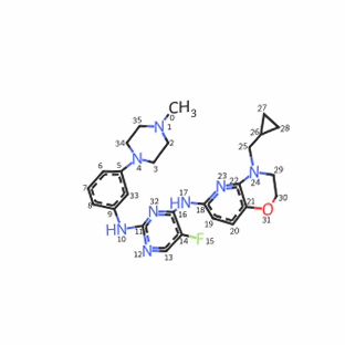 CN1CCN(c2cccc(Nc3ncc(F)c(Nc4ccc5c(n4)N(CC4CC4)CCO5)n3)c2)CC1